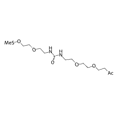 CSOCCOCCNC(=O)NCCOCCOCCC(C)=O